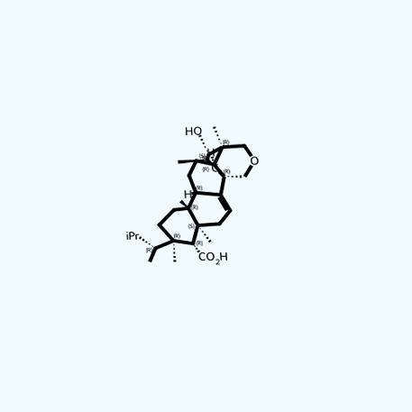 CC(C)[C@@H](C)[C@@]1(C)CC[C@]2(C)[C@H]3CC[C@@H]4[C@@]5(COC[C@]4(C)[C@@H](O)[C@H](C)C5)C3=CC[C@@]2(C)[C@@H]1C(=O)O